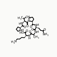 CC(C)[C@H](NC(=O)[C@@H]1CCCN1)C(=O)N1CCC[C@H]1C(=O)N[C@@H](CCC(N)=O)C(=O)N[C@@H](C)C(=O)N[C@@H](CCCCN)C(=O)O